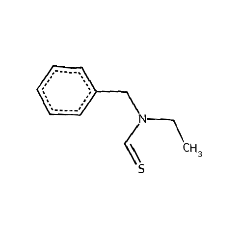 CCN(C=S)Cc1ccccc1